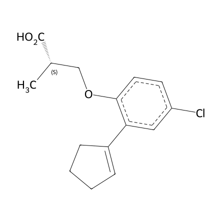 C[C@@H](COc1ccc(Cl)cc1C1=CCCC1)C(=O)O